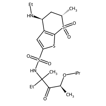 CCN[C@H]1C[C@H](C)S(=O)(=O)c2sc(S(=O)(=O)NC(C)(CC)C(=O)[C@H](C)OC(C)C)cc21